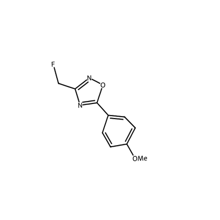 COc1ccc(-c2nc(CF)no2)cc1